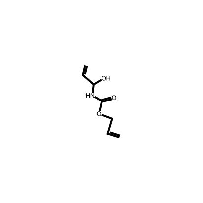 C=CCOC(=O)NC(O)C=C